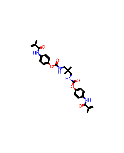 C=C(C)C(=O)Nc1ccc(OC(=O)NCC(C)(C)CNC(=O)Oc2ccc(NC(=O)C(=C)C)cc2)cc1